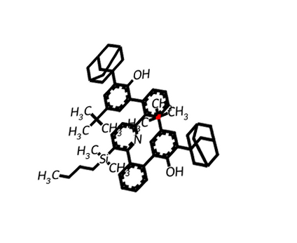 CCCC[Si](C)(C)c1ccc(-c2ccccc2-c2cc(C(C)(C)C)cc(C34CC5CC(CC(C5)C3)C4)c2O)nc1-c1ccccc1-c1cc(C(C)(C)C)cc(C23CC4CC(CC(C4)C2)C3)c1O